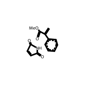 C=C(C(=O)OC)c1ccccc1.O=C1C=CC(=O)N1